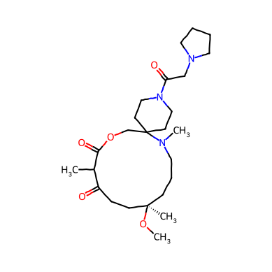 CO[C@]1(C)CCCN(C)C2(CCN(C(=O)CN3CCCC3)CC2)COC(=O)C(C)C(=O)CC1